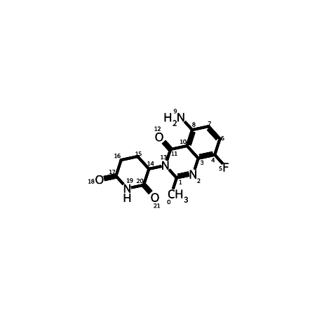 Cc1nc2c(F)ccc(N)c2c(=O)n1C1CCC(=O)NC1=O